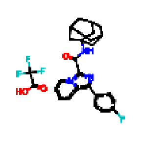 O=C(NC12CC3CC(CC(C3)C1)C2)c1nc(-c2ccc(F)cc2)c2ccccn12.O=C(O)C(F)(F)F